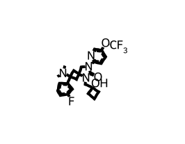 CN(C)C1(c2cccc(F)c2)CC2(CN(c3ccc(OC(F)(F)F)cn3)C(=O)N2CC2(O)CCC2)C1